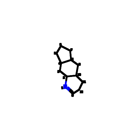 C1=NC2CC3CCCC3CC2CC1